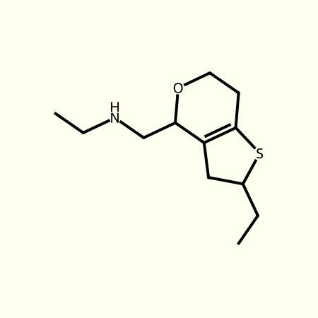 CCNCC1OCCC2=C1CC(CC)S2